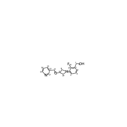 OCc1cccc(N2CC(OCc3cccnc3)C2)c1F